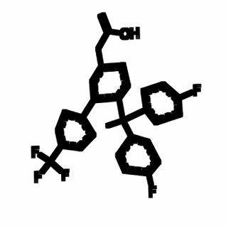 C=C(O)Cc1ccc(C(C)(c2ccc(F)cc2)c2ccc(F)cc2)c(-c2ccc(C(F)(F)F)cc2)c1